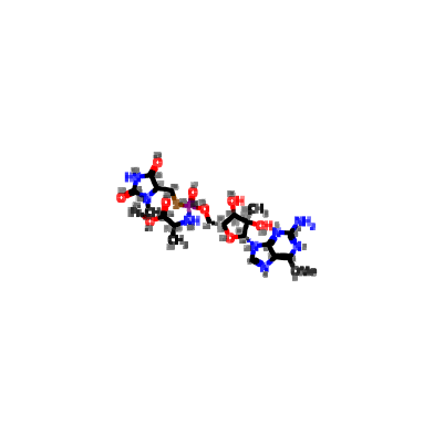 COc1nc(N)nc2c1ncn2[C@@H]1O[C@H](CO[P@](=O)(N[C@@H](C)C(=O)OC(C)C)SCC2C(=O)NC(=O)N2C)[C@@H](O)[C@@]1(C)O